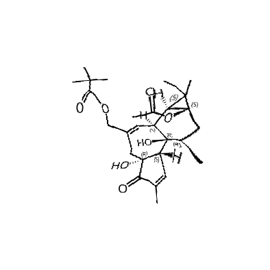 CC(=O)O[C@@]12C[C@@H](C)[C@@]3(O)[C@@H](C=C(COC(=O)C(C)(C)C)C[C@]4(O)C(=O)C(C)=C[C@@H]34)[C@H]1C2(C)C